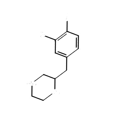 Fc1ccc(CC2CNCCO2)cc1Cl